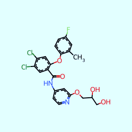 Cc1cc(F)ccc1Oc1cc(Cl)c(Cl)cc1C(=O)Nc1ccnc(OCC(O)CO)c1